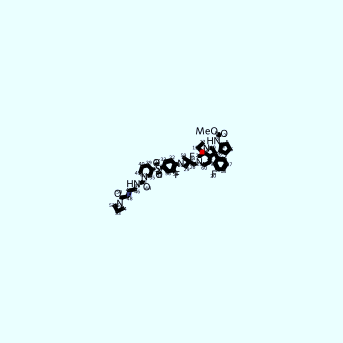 COC(=O)N[C@H]1CCC[C@@H]1C(CN1CCC1)(c1cccc(F)c1)C1CCN(CC2(F)CN(c3ccc(S(=O)(=O)[C@@H]4CCCN(C(=O)NC/C=C/C(=O)N5CCC5)C4)cc3F)C2)CC1